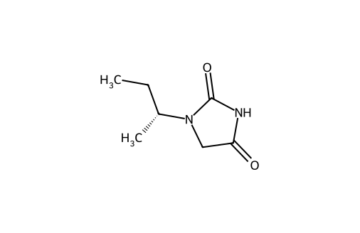 CC[C@@H](C)N1CC(=O)NC1=O